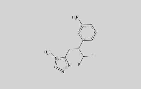 Cn1cnnc1CC(c1cccc(N)c1)C(F)F